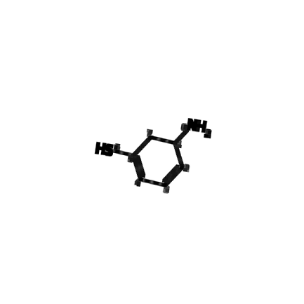 NC1C=CC=C(S)C1